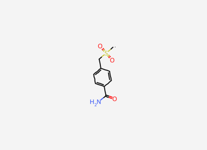 [CH2]S(=O)(=O)Cc1ccc(C(N)=O)cc1